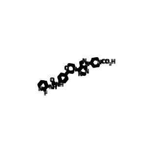 O=C(Nc1ccc(C2CN(c3ncnc4c3cnn4C3CCN(C(=O)O)CC3)CCO2)cc1)Nc1cccnc1F